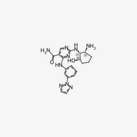 NC(=O)c1cnc(N[C@@H]2[C@H](O)CCC[C@@H]2N)nc1Nc1cccc(-n2nccn2)c1